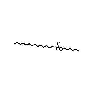 CCCCCCCCCCCCCCOC(=O)OCCCCCC